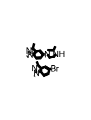 Cc1nn(C)c2ccc(Br)cc12.Cc1nn(C)c2ccc(N3CCNC(C)C3)cc12